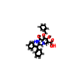 O=C(O)c1cn2c(c(OCc3ccccc3)c1=O)C(=O)N[C@H](C(c1ccccc1)c1ccccc1)C2